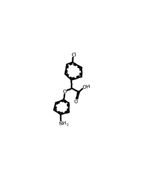 Nc1ccc(OC(C(=O)O)c2ccc(Cl)cc2)cc1